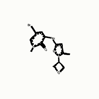 Cc1cc(Nc2cc(Br)cn(C)c2=O)nn1C1COC1